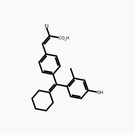 CCC(=Cc1ccc(C(=C2CCCCC2)c2ccc(O)cc2C)cc1)C(=O)O